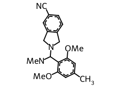 CNC(c1c(OC)cc(C)cc1OC)N1Cc2ccc(C#N)cc2C1